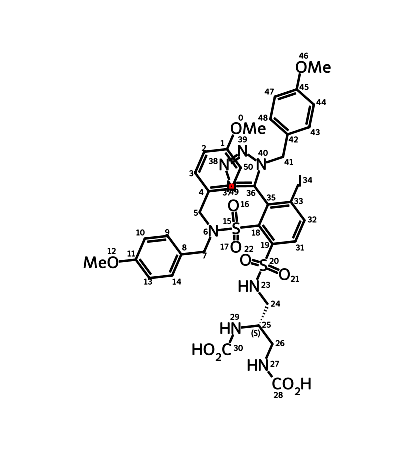 COc1ccc(CN(Cc2ccc(OC)cc2)S(=O)(=O)c2c(S(=O)(=O)NC[C@H](CNC(=O)O)NC(=O)O)ccc(I)c2-c2nnnn2Cc2ccc(OC)cc2)cc1